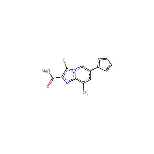 COC(=O)c1nc2c(C(F)(F)F)cc(C3=C=CC=C3)cn2c1Cl